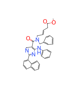 COC(=O)C/C=C/CN(Cc1ccccc1)C(=O)c1cnc(-c2cccc3ccccc23)nc1Nc1ccccc1